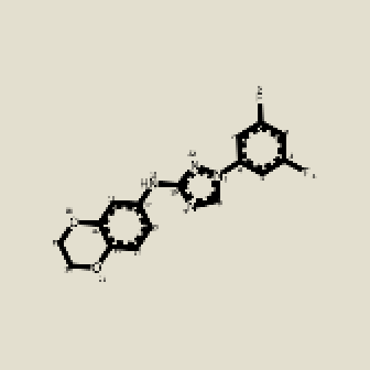 Fc1cc(F)cc(-n2cnc(Nc3ccc4c(c3)OCCO4)n2)c1